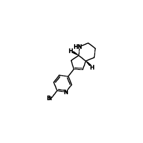 Brc1ccc(C2=C[C@H]3CCCN[C@H]3C2)cn1